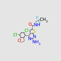 CC(F)(F)CNC(=O)c1cc2c(-c3c(Cl)cc(Cl)c4c3CCO4)nc(N)nc2s1